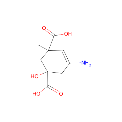 CC1(C(=O)O)C=C(N)CC(O)(C(=O)O)C1